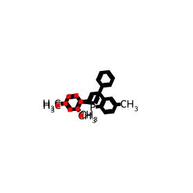 Cc1ccc(C2=CC3(c4ccccc4)C=C(c4ccc(C)cc4C)P2c2ccc(C)cc23)c(C)c1